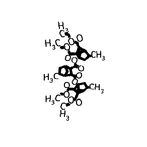 CCOC(=O)C1C2CC(OC(=O)C3C4CC(C)C(C4)C3C(=O)OC34CC(C)C(C3)C(C(=O)OCC)C4C(=O)OCC)(CC2C)C1C(=O)OCC